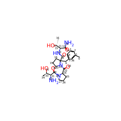 Cc1cccc(CC2(C(=O)N[C@H](C(N)=O)[C@@H](C)O)CCCN2C(=O)C2CCCN2C(=O)[C@@H](N)[C@@H](C)O)c1